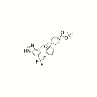 CC(C)(C)OC(=O)N1CCC(COCc2cc(C(F)(F)F)cc3[nH]cnc23)(c2ccccc2)CC1